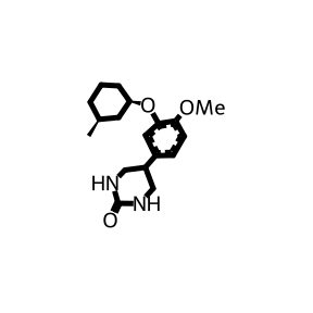 COc1ccc(C2CNC(=O)NC2)cc1O[C@@H]1CCC[C@H](C)C1